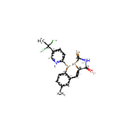 Cc1ccc(Sc2ccc(C(C)(F)F)cn2)c(/C=C2\SC(=S)NC2=O)c1